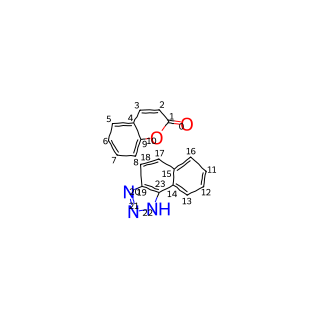 O=c1ccc2ccccc2o1.c1ccc2c(c1)ccc1nn[nH]c12